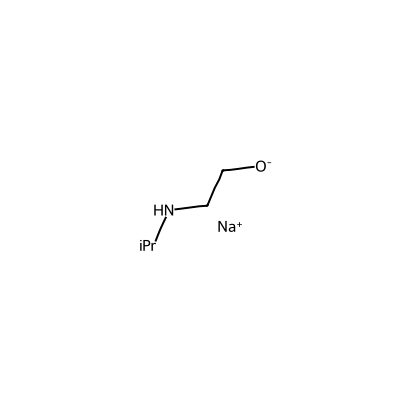 CC(C)NCC[O-].[Na+]